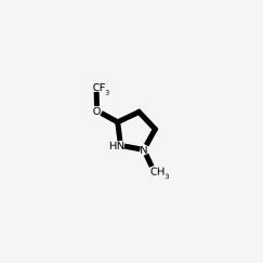 CN1C[CH]C(OC(F)(F)F)N1